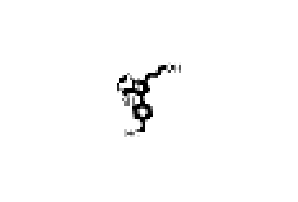 Nc1ncnn2c(CCCO)cc(-c3ccc(CO)cc3)c12